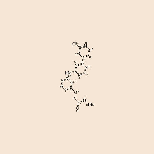 CC(C)(C)OC(=O)COc1cccc(Nc2ncnc(-c3ccnc(Cl)c3)n2)c1